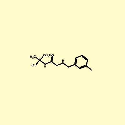 CC(C)(C)[C@](C)(NC(=O)CNCc1cccc(F)c1)C(=O)O